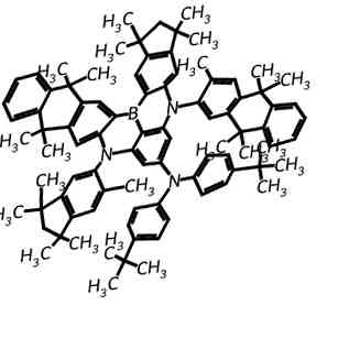 Cc1cc2c(cc1N1c3cc4c(cc3B3c5cc6c(cc5N(c5cc7c(cc5C)C(C)(C)c5ccccc5C7(C)C)c5cc(N(c7ccc(C(C)(C)C)cc7)c7ccc(C(C)(C)C)cc7)cc1c53)C(C)(C)CC6(C)C)C(C)(C)c1ccccc1C4(C)C)C(C)(C)CC2(C)C